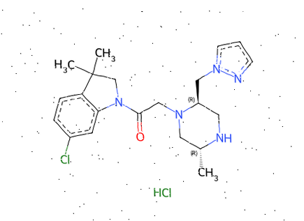 C[C@@H]1CN(CC(=O)N2CC(C)(C)c3ccc(Cl)cc32)[C@@H](Cn2cccn2)CN1.Cl